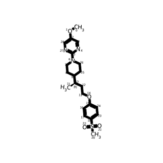 COc1cnc(N2CCC([C@H](C)CCOc3ccc(S(C)(=O)=O)cc3)CC2)nc1